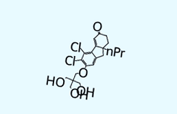 CCCC12CCC(=O)C=C1c1c(cc(OCC(CO)(CO)CO)c(Cl)c1Cl)C2